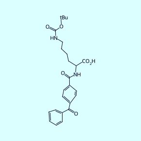 CC(C)(C)OC(=O)NCCCCC(NC(=O)c1ccc(C(=O)c2ccccc2)cc1)C(=O)O